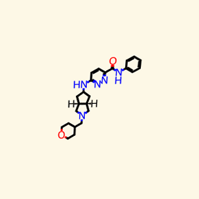 O=C(Nc1ccccc1)c1ccc(NC2C[C@@H]3CN(CC4CCOCC4)C[C@@H]3C2)nn1